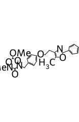 CNC(=O)N(Cc1ccc(OCCc2nc(-c3ccccc3)oc2C)cc1)OC(=O)OC